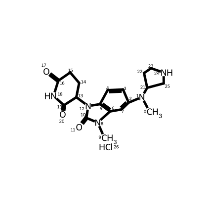 CN(c1ccc2c(c1)n(C)c(=O)n2C1CCC(=O)NC1=O)C1CCNC1.Cl